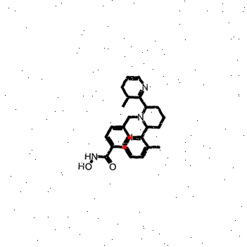 Cc1cccnc1C1CCCC(C2=NC=CCC2C)N1Cc1ccc(C(=O)NO)cc1